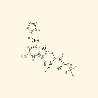 CC#CC(Cc1oc2c(NCc3cccs3)cc(Cl)nc2c1Br)N(C)C(=O)OC(C)(C)C